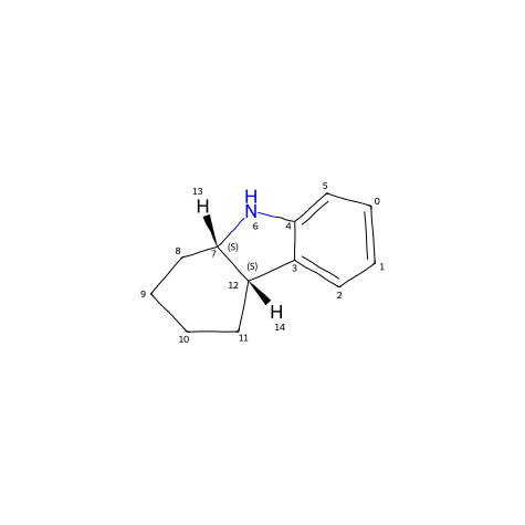 c1ccc2c(c1)N[C@H]1CCCC[C@@H]21